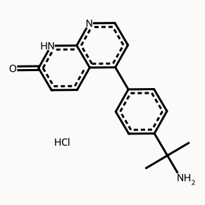 CC(C)(N)c1ccc(-c2ccnc3[nH]c(=O)ccc23)cc1.Cl